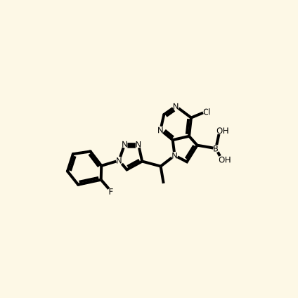 CC(c1cn(-c2ccccc2F)nn1)n1cc(B(O)O)c2c(Cl)ncnc21